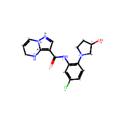 O=C(Nc1cc(Cl)ccc1N1CCC(O)C1)c1cnn2c1NCC=C2